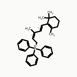 CC1=C(/C=C/C(C)=C\C[PH](c2ccccc2)(c2ccccc2)c2ccccc2)C(C)(C)CCC1